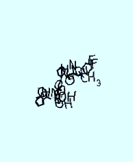 CC(C)(C=C(C#N)C(=O)N1CCCC[C@@H]1COC(=O)N[C@@H](Cc1coc2ccccc12)B(O)O)N1CCC(F)(F)CC1